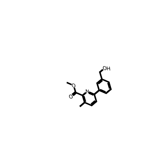 COC(=O)c1nc(-c2cccc(CO)c2)ccc1C